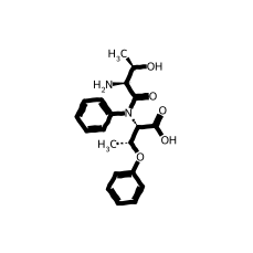 C[C@@H](O)[C@H](N)C(=O)N(c1ccccc1)[C@H](C(=O)O)[C@@H](C)Oc1ccccc1